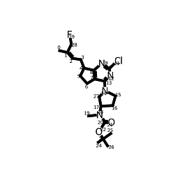 CC(=CCC1CCc2c1nc(Cl)nc2N1CCC(N(C)C(=O)OC(C)(C)C)C1)CF